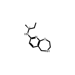 CC[C@H](C)Nc1ccc2c(n1)OCCNC2